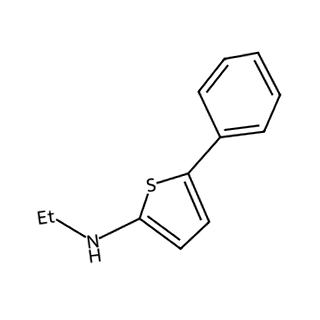 CCNc1ccc(-c2ccccc2)s1